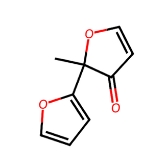 CC1(c2ccco2)OC=CC1=O